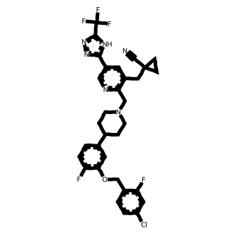 N#CC1(Cc2cc(-c3nnc(C(F)(F)F)[nH]3)cnc2CN2CCC(c3ccc(F)c(OCc4ccc(Cl)cc4F)c3)CC2)CC1